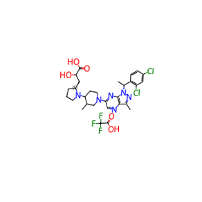 Cc1nn(C(C)c2ccc(Cl)cc2Cl)c2nc(N3CCC(N4CCC[C@H]4CC(O)C(=O)O)C(C)C3)cnc12.O=C(O)C(F)(F)F